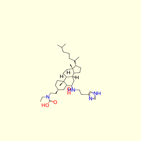 CCN(CC[C@H]1CC[C@]2(C)[C@H]3CC[C@]4(C)[C@@H](C(C)CCCC(C)C)CC[C@H]4[C@@H]3C[C@@H](NCCc3c[nH]cn3)[C@@]2(O)C1)C(=O)O